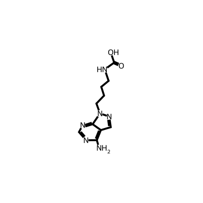 Nc1ncnc2c1cnn2CCCCNC(=O)O